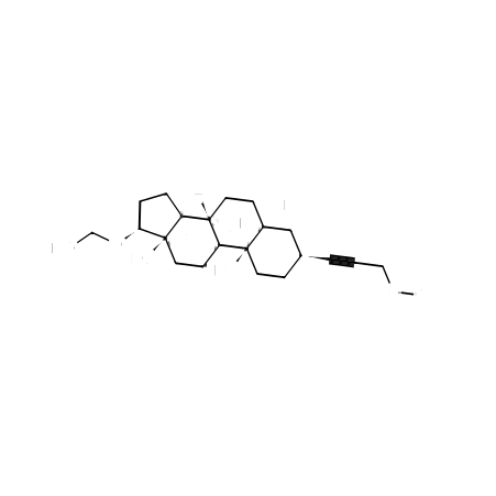 COCC#C[C@H]1CC[C@@]2(C)[C@@H](CC[C@@H]3[C@@H]2CC[C@]2(C)[C@@H](OCO)CC[C@@H]32)C1